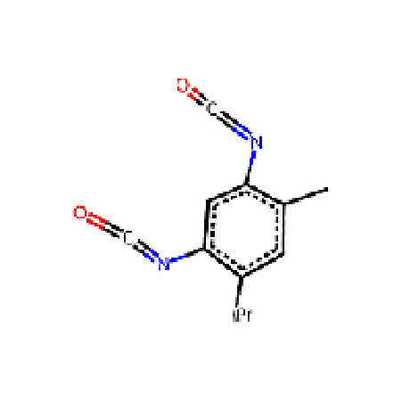 Cc1cc(C(C)C)c(N=C=O)cc1N=C=O